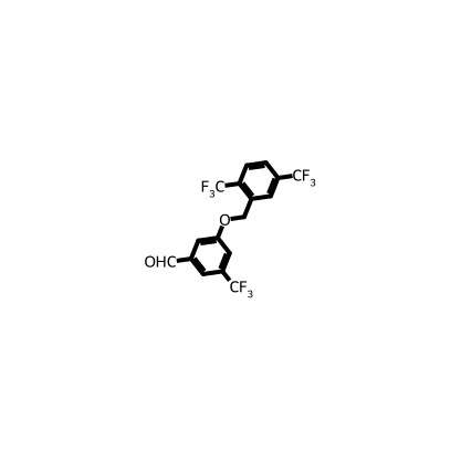 O=Cc1cc(OCc2cc(C(F)(F)F)ccc2C(F)(F)F)cc(C(F)(F)F)c1